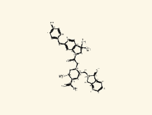 C[C@@H]1CN(CC(=O)N2CC(C)(C)c3cnc(Cc4ccc(F)cc4)cc32)[C@@H](CN2Cc3ncccc3C2=O)CN1C(=O)O